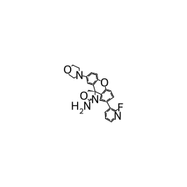 NC1=N[C@@]2(CO1)c1cc(-c3cccnc3F)ccc1Oc1ccc(N3CCOCC3)cc12